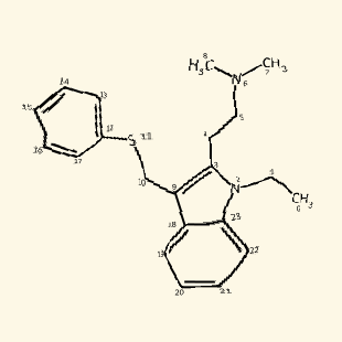 CCn1c(CCN(C)C)c(CSc2ccccc2)c2ccccc21